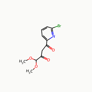 COC(OC)C(=O)CC(=O)c1cccc(Br)n1